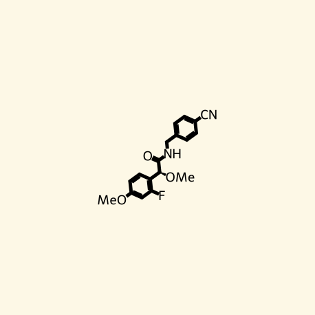 COc1ccc([C@H](OC)C(=O)NCc2ccc(C#N)cc2)c(F)c1